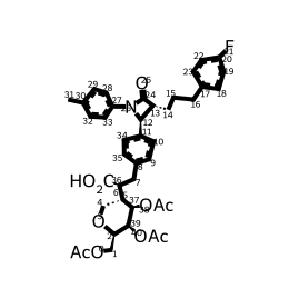 CC(=O)OC[C@H]1OC[C@H]([C@@H](Cc2ccc([C@@H]3[C@@H](CCCc4ccc(F)cc4)C(=O)N3c3ccc(C)cc3)cc2)C(=O)O)[C@@H](OC(C)=O)[C@H]1OC(C)=O